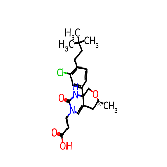 C[C@H]1CC2=CN(CCC(=O)O)C(=O)NC2(c2ccc(CCC(C)(C)C)c(Cl)c2)CO1